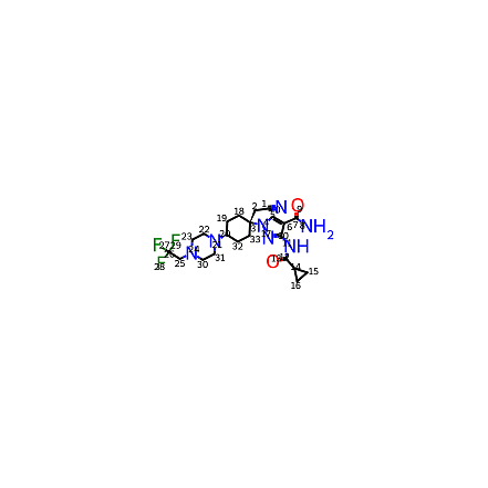 N#CC[C@]1(n2cc(C(N)=O)c(NC(=O)C3CC3)n2)CC[C@H](N2CCN(CC(F)(F)F)CC2)CC1